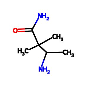 CC(N)C(C)(C)C(N)=O